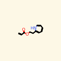 C=CC(=O)OCCC1=CC=CC=CN1